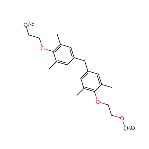 CC(=O)OCCOc1c(C)cc(Cc2cc(C)c(OCCOC=O)c(C)c2)cc1C